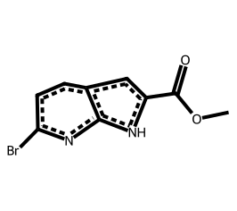 COC(=O)c1cc2ccc(Br)nc2[nH]1